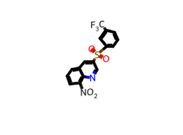 O=[N+]([O-])c1cccc2cc(S(=O)(=O)c3cccc(C(F)(F)F)c3)cnc12